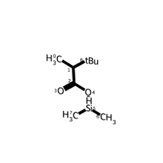 CC(C(=O)O[SiH](C)C)C(C)(C)C